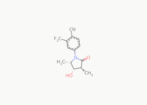 C[C@@H]1C(=O)N(c2ccc(C#N)c(C(F)(F)F)c2)[C@@H](C)[C@H]1O